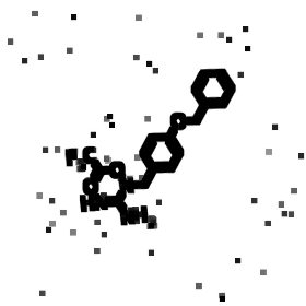 N=C(N)N(Cc1ccc(OCc2ccccc2)cc1)OC(=O)C(F)(F)F